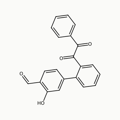 O=Cc1ccc(-c2ccccc2C(=O)C(=O)c2ccccc2)cc1O